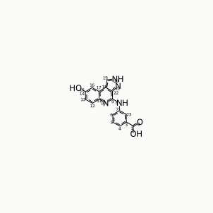 O=C(O)c1cccc(Nc2nc3ccc(O)cc3c3c[nH]nc23)c1